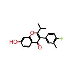 Cc1cc(-c2c(C(C)C)oc3cc(O)ccc3c2=O)ccc1F